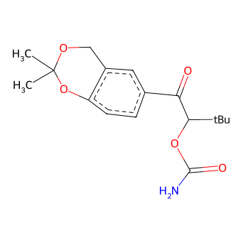 CC1(C)OCc2cc(C(=O)C(OC(N)=O)C(C)(C)C)ccc2O1